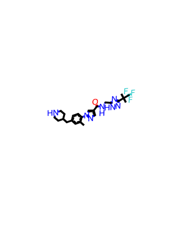 Cc1cc(CC2CCNCC2)ccc1-n1cc(C(=O)NCc2nc(C(C)(C)C(F)(F)F)n[nH]2)cn1